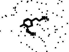 Cc1ccc(CCN)cc1N=N